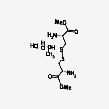 CO.COC(=O)[C@@H](N)CSSC[C@H](N)C(=O)OC.Cl.Cl